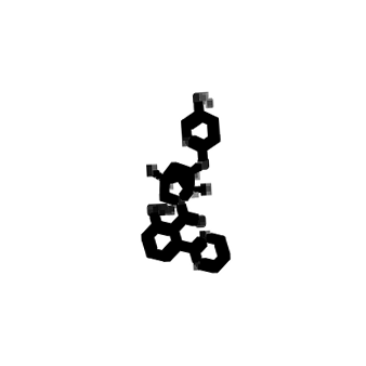 COc1cccc(-c2ncccn2)c1C(=O)N1C[C@H]2C[C@@H](Oc3ccc(C(F)(F)F)cn3)[C@@H]1C2